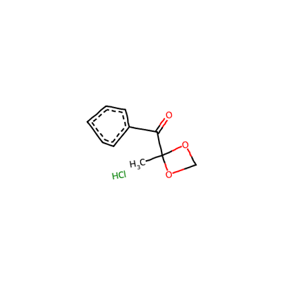 CC1(C(=O)c2ccccc2)OCO1.Cl